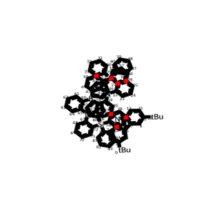 CC(C)(C)c1ccc2c(c1)c1cc(C(C)(C)C)ccc1n2-c1cc2c3c(c1)N(c1ccccc1[Si](c1ccccc1)(c1ccccc1)c1ccccc1)c1c(cccc1-c1ccccc1)B3c1ccccc1N2c1ccccc1[Si](c1ccccc1)(c1ccccc1)c1ccccc1